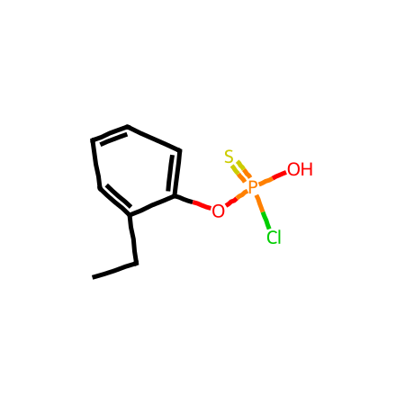 CCc1ccccc1OP(O)(=S)Cl